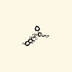 COCCN1C[C@@H](NC(=O)Nc2cc3cc(F)ccc3nc2C)[C@H](c2ccccc2)C1